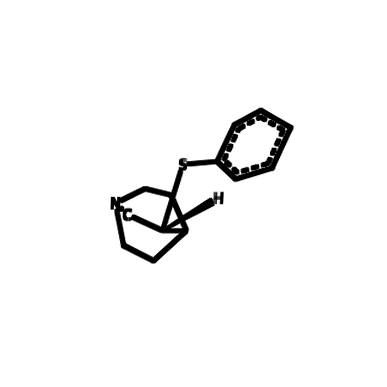 c1ccc(S[C@H]2CN3CCC2CC3)cc1